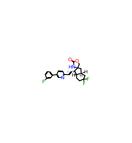 O=C1NC2(CO1)C[C@@H]1CC(F)(F)CC[C@H]1[C@@H]2/C=C/c1ccc(-c2cccc(F)c2)cn1